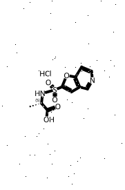 C[C@H](NS(=O)(=O)c1cc2cnccc2o1)C(=O)O.Cl